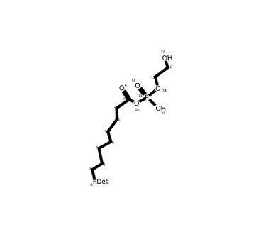 CCCCCCCCCCCCCCCCCC(=O)OP(=O)(O)OCCO